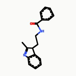 CC1=Nc2ccccc2C1CCNC(=O)c1ccccc1